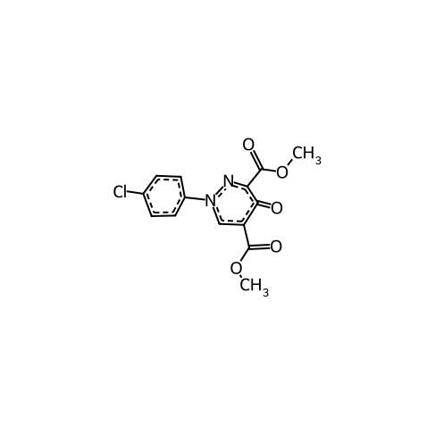 COC(=O)c1cn(-c2ccc(Cl)cc2)nc(C(=O)OC)c1=O